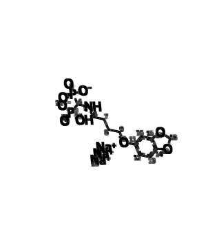 O=P([O-])([O-])C(NCCCCOc1ccc2c(c1)OCO2)P(=O)([O-])O.[Na+].[Na+].[Na+]